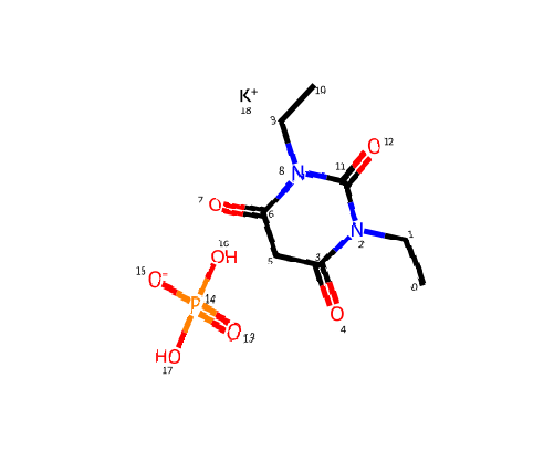 CCN1C(=O)CC(=O)N(CC)C1=O.O=P([O-])(O)O.[K+]